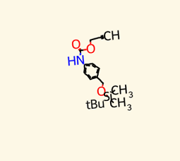 C#CCOC(=O)Nc1ccc(CO[Si](C)(C)C(C)(C)C)cc1